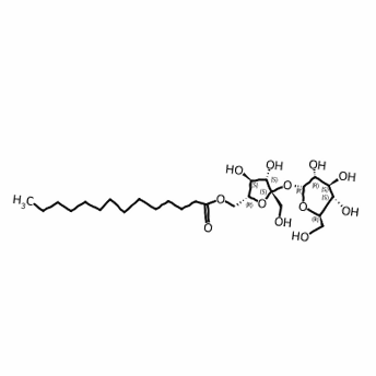 CCCCCCCCCCCCCC(=O)OC[C@H]1O[C@@](CO)(O[C@H]2O[C@H](CO)[C@@H](O)[C@H](O)[C@H]2O)[C@@H](O)[C@@H]1O